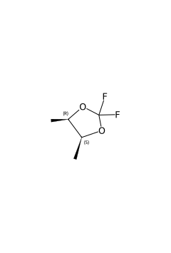 C[C@@H]1OC(F)(F)O[C@@H]1C